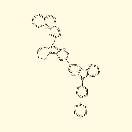 C1=Cc2c(c3cc(-c4ccc5c(c4)c4ccccc4n5-c4ccc(-c5ccccc5)cc4)ccc3n2-c2ccc3ccc4ccccc4c3c2)CC1